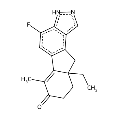 CCC12CCC(=O)C(C)=C1c1cc(F)c3[nH]ncc3c1C2